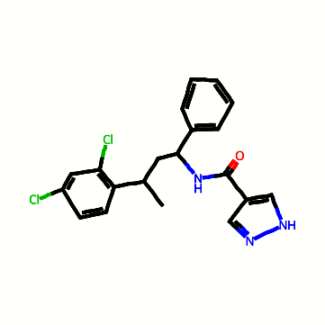 CC(CC(NC(=O)c1cn[nH]c1)c1ccccc1)c1ccc(Cl)cc1Cl